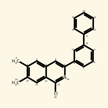 Cc1cc2cc(-c3cccc(-c4ccccc4)c3)nc(Cl)c2cc1C